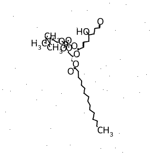 CCCCCCCCCCCCCCCC(=O)OC[C@H](COP(=O)([O-])OCC[N+](C)(C)C)OC(=O)C=CCC(O)CCC=O